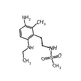 CCNc1ccc(N)c(C)c1CCNS(C)(=O)=O